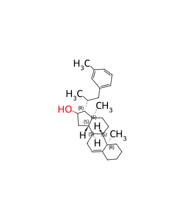 Cc1cccc(CC(C)[C@H]2C(O)C[C@H]3[C@@H]4CC=C5CCCC[C@]5(C)[C@H]4CC[C@]23C)c1